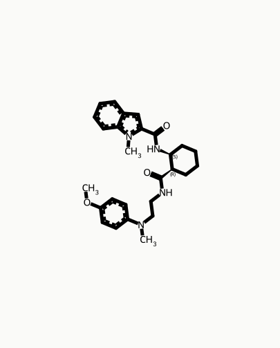 COc1ccc(N(C)CCNC(=O)[C@@H]2CCCC[C@@H]2NC(=O)c2cc3ccccc3n2C)cc1